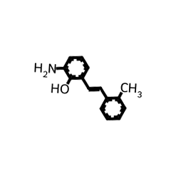 Cc1ccccc1C=Cc1cccc(N)c1O